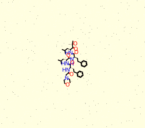 CC(C)C[C@H](NC(=O)[C@@H](CCc1ccccc1)NC(=O)[C@@H](CC(C)C)NC(=O)[C@H](CCc1ccccc1)NC(=O)CN1CCOCC1)C(=O)[C@@]1(C)CO1